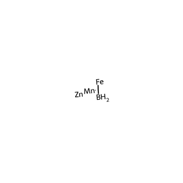 [BH2][Fe].[Mn].[Zn]